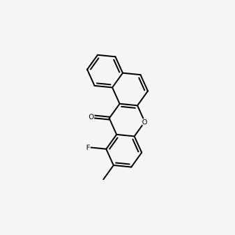 Cc1ccc2oc3ccc4ccccc4c3c(=O)c2c1F